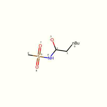 CCCCCC([O])NS(C)(=O)=O